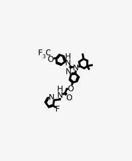 CC1CC(n2c(Nc3ccc(OC(F)(F)F)cc3)nc3cc(OCC(=O)NCc4ncccc4F)ccc32)CC(C)(C)C1